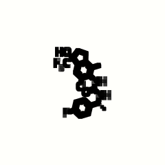 Cc1c2c(cc(Cl)c1NC(=O)N[C@H](C)c1ccc(F)cc1)[C@](O)(C(F)(F)F)CC2